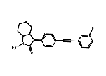 CN1C(=O)C(c2ccc(C#Cc3cccc(F)c3)cn2)C2CCCCC21